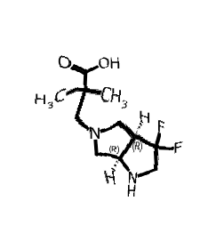 CC(C)(CN1C[C@@H]2NCC(F)(F)[C@@H]2C1)C(=O)O